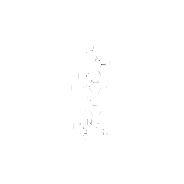 CN1CCC(Nc2cccc(Sc3ccc(/C=C/C(=O)N4CCOCC4)c(C(F)(F)F)c3C(F)(F)F)c2)(C(N)=O)CC1